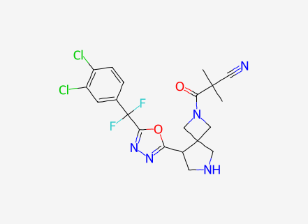 CC(C)(C#N)C(=O)N1CC2(CNCC2c2nnc(C(F)(F)c3ccc(Cl)c(Cl)c3)o2)C1